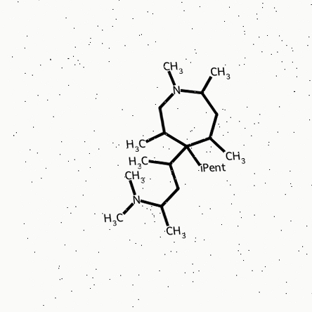 CCCC(C)C1(C(C)CC(C)N(C)C)C(C)CC(C)N(C)CC1C